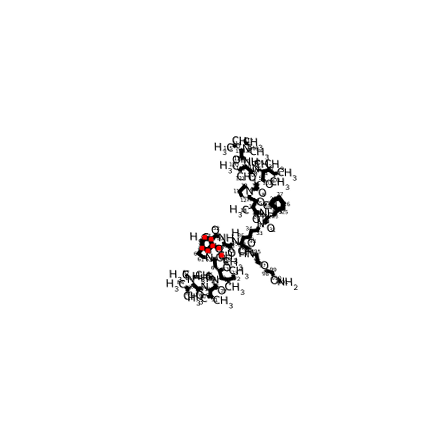 CC[C@H](C)[C@@H]([C@@H](CC(=O)N1CCC[C@H]1[C@H](OC)[C@@H](C)C(=O)N[C@@H](Cc1ccccc1)C(=O)NCCCC[C@](C)(NC(=O)[C@H](Cc1ccccc1)NC(=O)[C@H](C)[C@@H](OC)[C@@H]1CCCN1C(=O)C[C@@H](OC)[C@H]([C@@H](C)CC)N(C)C(=O)[C@@H](NC(=O)[C@H](C(C)C)N(C)C)C(C)C)C(=O)NCCOCCON)OC)N(C)C(=O)[C@@H](NC(=O)[C@H](C(C)C)N(C)C)C(C)C